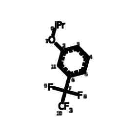 CC(C)Oc1cccc(C(F)(F)C(F)(F)F)c1